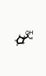 C[C@H](O)C1CCCC1